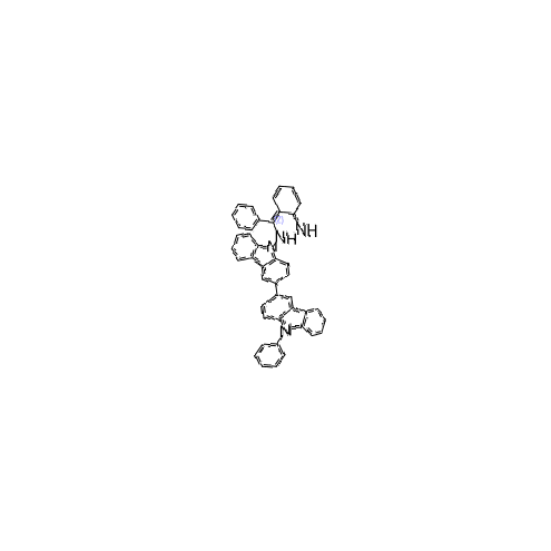 N=C1C=CC=C/C1=C(/Nn1c2ccccc2c2cc(-c3ccc4c(c3)c3ccccc3n4-c3ccccc3)ccc21)c1ccccc1